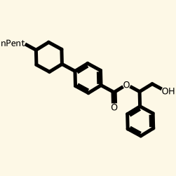 CCCCCC1CCC(c2ccc(C(=O)OC(CO)c3ccccc3)cc2)CC1